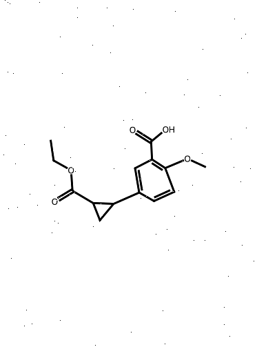 CCOC(=O)C1CC1c1ccc(OC)c(C(=O)O)c1